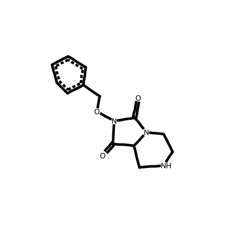 O=C1C2CNCCN2C(=O)N1OCc1ccccc1